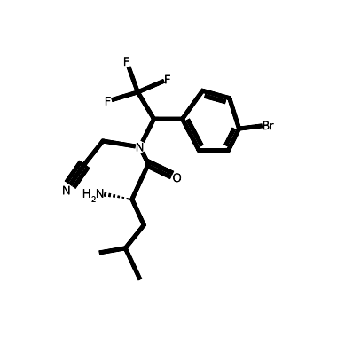 CC(C)C[C@H](N)C(=O)N(CC#N)C(c1ccc(Br)cc1)C(F)(F)F